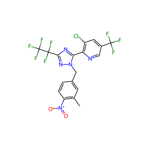 Cc1cc(Cn2nc(C(F)(F)C(F)(F)F)nc2-c2ncc(C(F)(F)F)cc2Cl)ccc1[N+](=O)[O-]